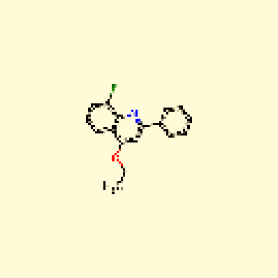 CCOc1cc(-c2ccccc2)nc2c(F)cccc12